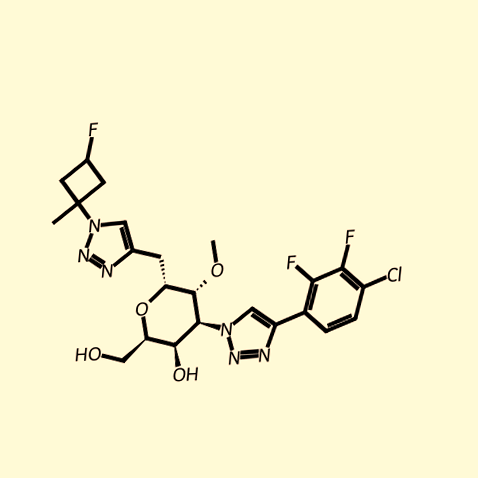 CO[C@@H]1[C@@H](n2cc(-c3ccc(Cl)c(F)c3F)nn2)[C@@H](O)[C@@H](CO)O[C@@H]1Cc1cn(C2(C)CC(F)C2)nn1